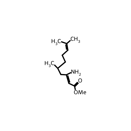 COC(=O)/C=C(\N)CC(C)CCC=C(C)C